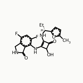 CC[C@@H](NC1=C(Nc2c(F)cc(F)c3c2C(=O)NC3)C(O)C1=O)c1ccc(C)o1